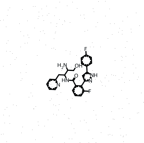 NC(CO)C(Cc1ccccn1)NC(=O)c1cccc(F)c1-c1cc(-c2ccc(F)cc2)[nH]n1